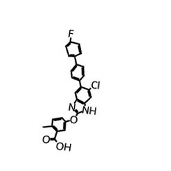 Cc1ccc(Oc2nc3cc(-c4ccc(-c5ccc(F)cc5)cc4)c(Cl)cc3[nH]2)cc1C(=O)O